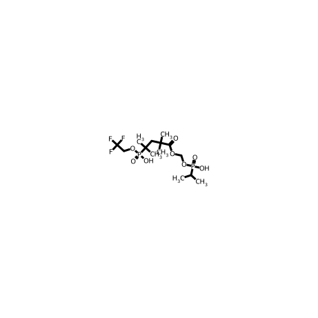 CC(C)P(=O)(O)OCOC(=O)C(C)(C)CC(C)(C)P(=O)(O)OCC(F)(F)F